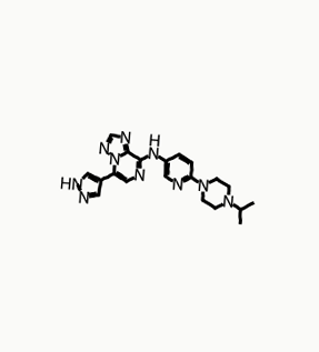 CC(C)N1CCN(c2ccc(Nc3ncc(-c4cn[nH]c4)n4ncnc34)cn2)CC1